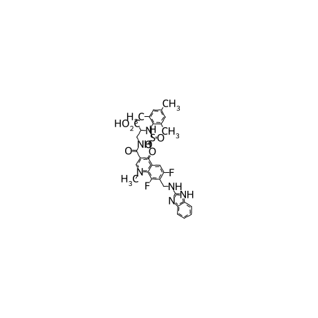 Cc1cc(C)c(N(C(CNC(=O)c2cn(C)c3c(F)c(CNc4nc5ccccc5[nH]4)c(F)cc3c2=O)C(=O)O)[SH](=O)=O)c(C)c1